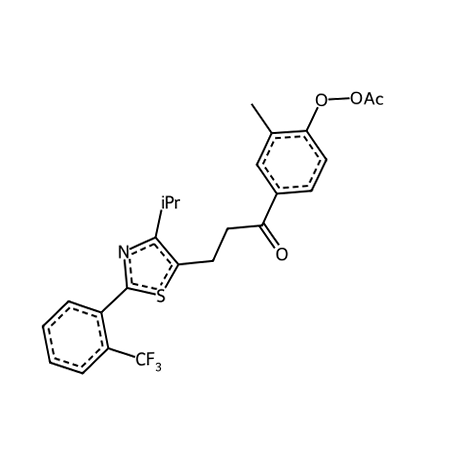 CC(=O)OOc1ccc(C(=O)CCc2sc(-c3ccccc3C(F)(F)F)nc2C(C)C)cc1C